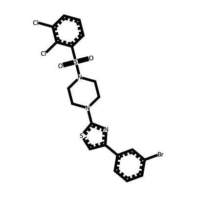 O=S(=O)(c1cccc(Cl)c1Cl)N1CCN(c2nc(-c3cccc(Br)c3)cs2)CC1